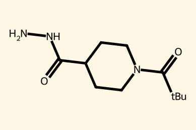 CC(C)(C)C(=O)N1CCC(C(=O)NN)CC1